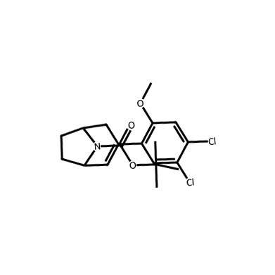 COc1cc(Cl)c(Cl)cc1C1=CC2CCC(C1)N2C(=O)OC(C)(C)C